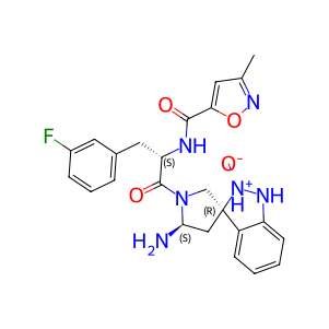 Cc1cc(C(=O)N[C@@H](Cc2cccc(F)c2)C(=O)N2C[C@@]3(C[C@H]2N)c2ccccc2N[NH+]3[O-])on1